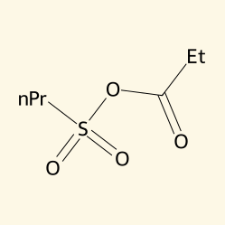 CCCS(=O)(=O)OC(=O)CC